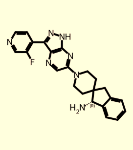 N[C@H]1c2ccccc2CC12CCN(c1cnc3c(-c4ccncc4F)n[nH]c3n1)CC2